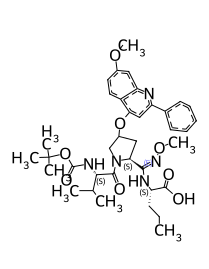 CCC[C@H](N/C(=N/OC)[C@@H]1CC(Oc2cc(-c3ccccc3)nc3cc(OC)ccc23)CN1C(=O)[C@@H](NC(=O)OC(C)(C)C)C(C)C)C(=O)O